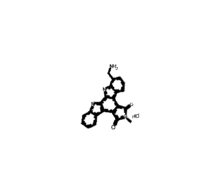 Cl.Cn1c(=O)c2c(c1=O)c1c3cccc(CN)c3nc1c1nc3ccccc3c12